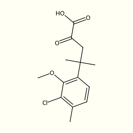 COc1c(C(C)(C)CC(=O)C(=O)O)ccc(C)c1Cl